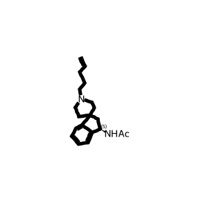 C=CCCCN1CCC2(CC1)C[C@H](NC(C)=O)c1ccccc12